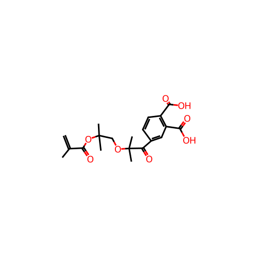 C=C(C)C(=O)OC(C)(C)COC(C)(C)C(=O)c1ccc(C(=O)O)c(C(=O)O)c1